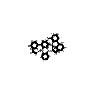 c1ccc2c(c1)Sc1c3c(cc4c1B2n1ccc2cccc-4c21)Sc1cccc2c1B3n1ccc3cccc-2c31